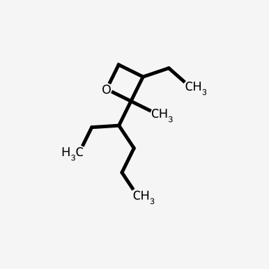 CCCC(CC)C1(C)OCC1CC